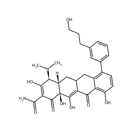 CN(C)[C@@H]1C(O)=C(C(N)=O)C(=O)[C@@]2(O)C(O)=C3C(=O)c4c(O)ccc(-c5cccc(CCCO)c5)c4CC3C[C@@H]12